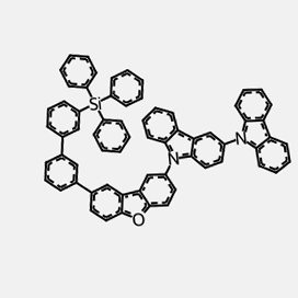 c1ccc([Si](c2ccccc2)(c2ccccc2)c2cccc(-c3cccc(-c4ccc5oc6ccc(-n7c8ccccc8c8cc(-n9c%10ccccc%10c%10ccccc%109)ccc87)cc6c5c4)c3)c2)cc1